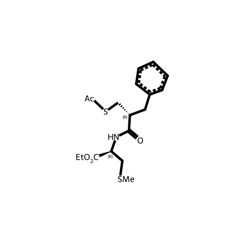 CCOC(=O)[C@H](CSC)NC(=O)[C@H](CSC(C)=O)Cc1ccccc1